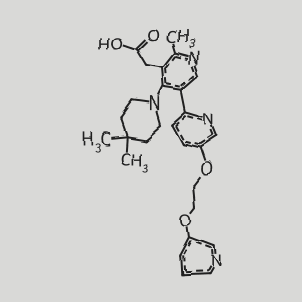 Cc1ncc(-c2ccc(OCCOc3cccnc3)cn2)c(N2CCC(C)(C)CC2)c1CC(=O)O